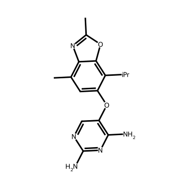 Cc1nc2c(C)cc(Oc3cnc(N)nc3N)c(C(C)C)c2o1